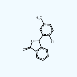 Cc1ccc(Cl)c(C2OC(=O)c3ccccc32)c1